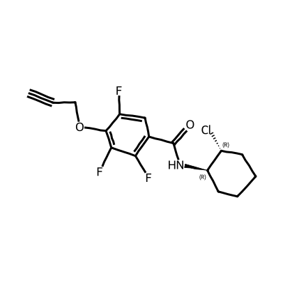 C#CCOc1c(F)cc(C(=O)N[C@@H]2CCCC[C@H]2Cl)c(F)c1F